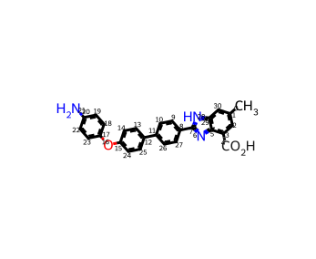 Cc1cc(C(=O)O)c2nc(-c3ccc(-c4ccc(Oc5ccc(N)cc5)cc4)cc3)[nH]c2c1